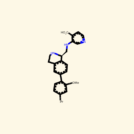 COc1cc(C(C)C)ccc1-c1ccc2c(c1)CCN[C@H]2CNc1cnccc1C(=O)O